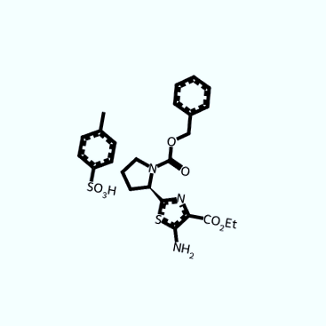 CCOC(=O)c1nc([C@H]2CCCN2C(=O)OCc2ccccc2)sc1N.Cc1ccc(S(=O)(=O)O)cc1